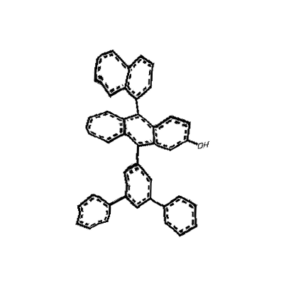 Oc1ccc2c(-c3cccc4ccccc34)c3ccccc3c(-c3cc(-c4ccccc4)cc(-c4ccccc4)c3)c2c1